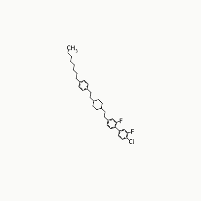 CCCCCCCCc1ccc(CCC2CCC(CCc3ccc(-c4ccc(Cl)c(F)c4)c(F)c3)CC2)cc1